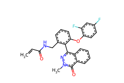 C=CC(=O)NCc1cccc(Oc2ccc(F)cc2F)c1-c1nn(C)c(=O)c2ccccc12